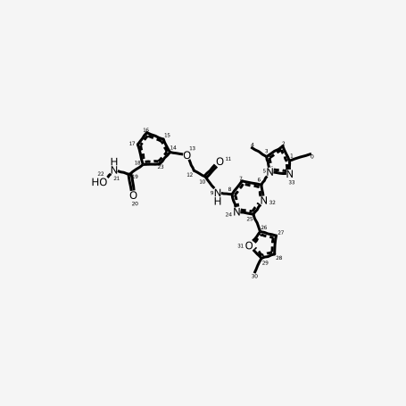 Cc1cc(C)n(-c2cc(NC(=O)COc3cccc(C(=O)NO)c3)nc(-c3ccc(C)o3)n2)n1